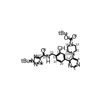 Cc1cc(-c2ncncc2N2CCN(C(=O)OC(C)(C)C)CC2)ccc1CNC(=O)c1nnn(C(C)(C)C)n1